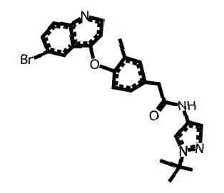 Cc1cc(CC(=O)Nc2cnn(C(C)(C)C)c2)ccc1Oc1ccnc2ccc(Br)cc12